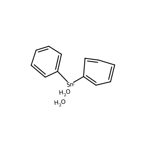 O.O.c1cc[c]([Sn][c]2ccccc2)cc1